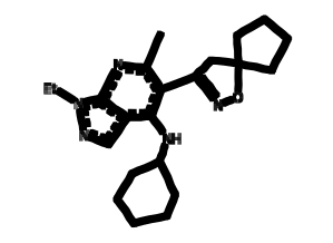 CCn1ncc2c(NC3CCCCC3)c(C3=NOC4(CCCC4)C3)c(C)nc21